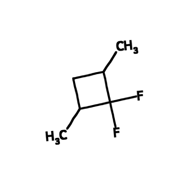 CC1CC(C)C1(F)F